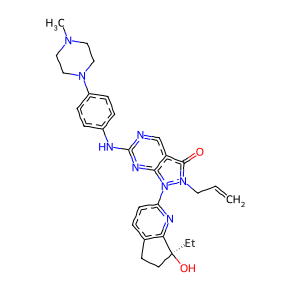 C=CCn1c(=O)c2cnc(Nc3ccc(N4CCN(C)CC4)cc3)nc2n1-c1ccc2c(n1)[C@](O)(CC)CC2